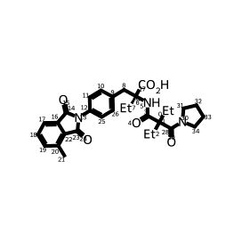 CCC(CC)(C(=O)N[C@](CC)(Cc1ccc(N2C(=O)c3cccc(C)c3C2=O)cc1)C(=O)O)C(=O)N1CCCC1